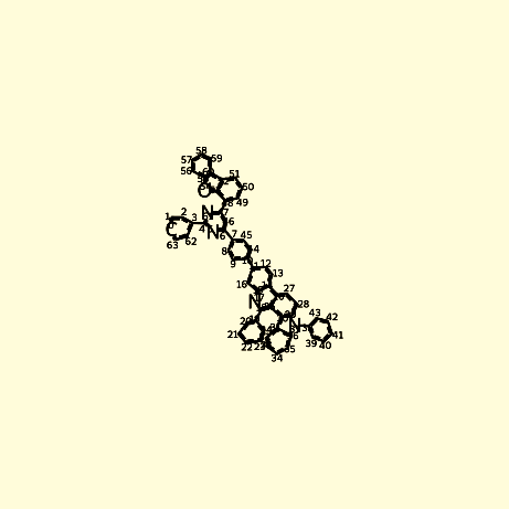 c1ccc(-c2nc(-c3ccc(-c4ccc5c(c4)nc(-c4ccccc4)c4c5ccc5c4c4ccccc4n5-c4ccccc4)cc3)cc(-c3cccc4c3oc3ccccc34)n2)cc1